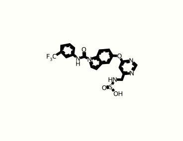 O=C(Nc1cccc(C(F)(F)F)c1)n1ccc2cc(Oc3cc(CNS(=O)O)ncn3)ccc21